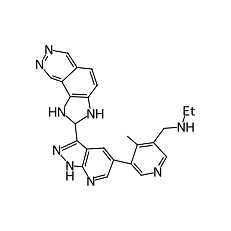 CCNCc1cncc(-c2cnc3[nH]nc(C4Nc5ccc6cnncc6c5N4)c3c2)c1C